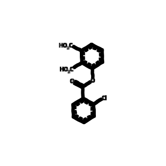 O=C(Oc1cccc(C(=O)O)c1C(=O)O)c1ccccc1Cl